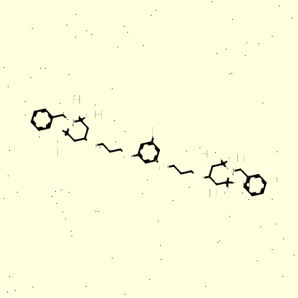 CC1(C)CC(OCCCOc2cc(Br)cc(OCCCOC3CC(C)(C)N(Cc4ccccc4)C(C)(C)C3)c2)CC(C)(C)N1Cc1ccccc1